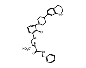 CCc1c(NC[C@H](NC(=O)NCc2ccccc2)C(=O)O)ncnc1N1CCC(c2ccc3c(c2)NCCC3)CC1